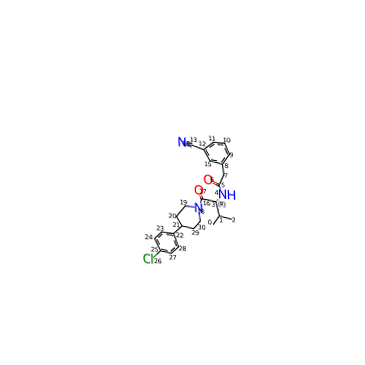 CC(C)[C@@H](NC(=O)Cc1cccc(C#N)c1)C(=O)N1CCC(c2ccc(Cl)cc2)CC1